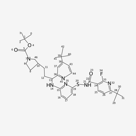 CC(C)(C)OC(=O)N1CCC(CCC(Nc2cccc(SNC(=O)c3ccc(C(C)(C)C)nc3F)n2)c2cc(C(C)(C)C)ccn2)C1